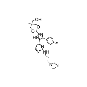 CC1(CO)COC(c2nc(-c3ccc(F)cc3)c(-c3ccnc(NCCCN4C=NCC4)n3)[nH]2)OC1